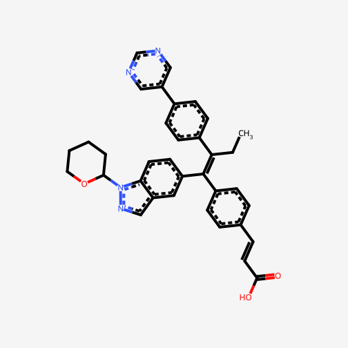 CCC(=C(c1ccc(C=CC(=O)O)cc1)c1ccc2c(cnn2C2CCCCO2)c1)c1ccc(-c2cncnc2)cc1